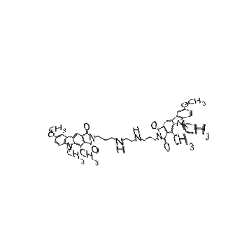 COc1ccc2c(c1)c1cc3c(c(C)c1n2C)C(=O)N(CCCNCCNCCCN1C(=O)c2cc4c5cc(OC)ccc5n(C)c4c(C)c2C1=O)C3=O